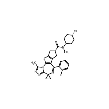 Cc1nnc2n1-c1sc3c(c1C(c1ccccc1Cl)=NC21CC1)C[C@H](C(=O)N(C)[C@H]1CC[C@H](O)CC1)C3